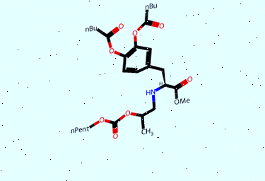 CCCCCOC(=O)OC(C)CN[C@@H](Cc1ccc(OC(=O)CCCC)c(OC(=O)CCCC)c1)C(=O)OC